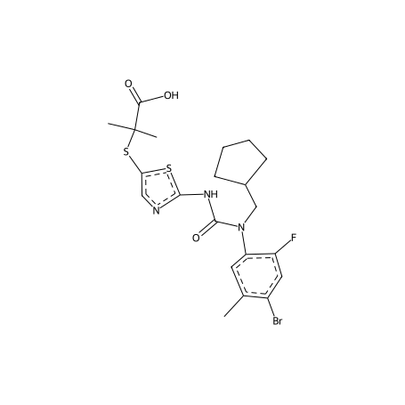 Cc1cc(N(CC2CCCC2)C(=O)Nc2ncc(SC(C)(C)C(=O)O)s2)c(F)cc1Br